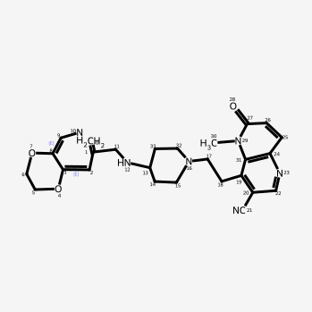 C=C(/C=C1/OCCO/C1=C/N)CNC1CCN(CCc2c(C#N)cnc3ccc(=O)n(C)c23)CC1